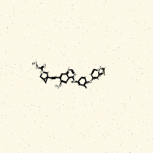 Cc1cc(Nc2ncnc3cc(C#CC45CC4CN(C(=O)OC(C)(C)C)C5)c([N+](=O)[O-])cc23)ccc1Oc1ccn2ncnc2c1